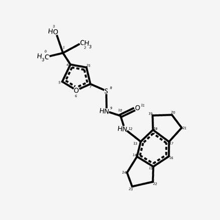 CC(C)(O)c1coc(SNC(=O)Nc2c3c(cc4c2CCC4)CCC3)c1